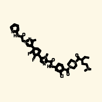 CCC(CCN(C)C)C(=O)N1CCN(C(=O)c2ccc(NC(=O)c3ncc(-c4ccc(-c5cn(CC(=O)Nc6ccccn6)nc5C)c(F)c4F)n3C)cc2Cl)CC1